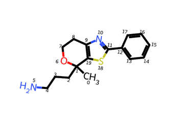 CC1(CCCN)OCCc2nc(-c3ccccc3)sc21